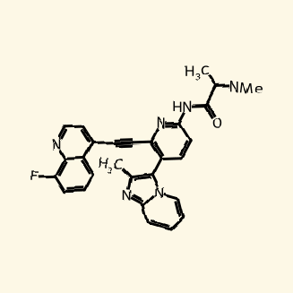 CNC(C)C(=O)Nc1ccc(-c2c(C)nc3ccccn23)c(C#Cc2ccnc3c(F)cccc23)n1